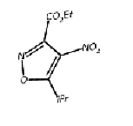 CCOC(=O)c1noc(C(C)C)c1[N+](=O)[O-]